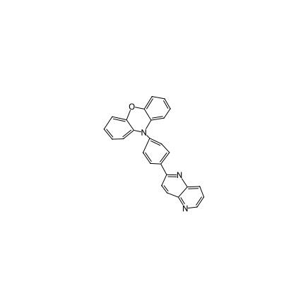 c1ccc2c(c1)Oc1ccccc1N2c1ccc(-c2ccc3ncccc3n2)cc1